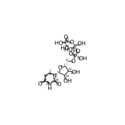 O=c1ccn([C@@H]2O[C@H](COP(=O)(O)O[PH](O)(O)OP(=O)(O)O)C(O)C2O)c(=O)[nH]1